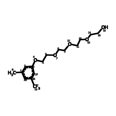 Cc1cc(OCCOCCOCCOCCO)cc(C(F)(F)F)c1